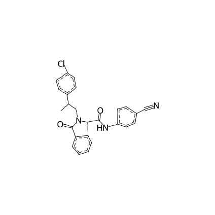 CC(CN1C(=O)c2ccccc2C1C(=O)Nc1ccc(C#N)cc1)c1ccc(Cl)cc1